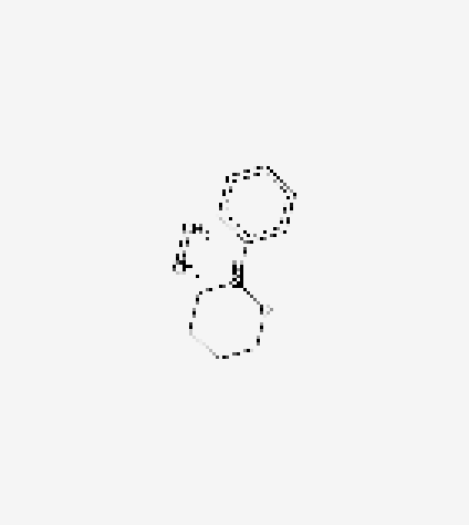 C=C.c1ccc([SiH]2CCCCO2)cc1